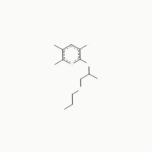 CCCOCC(C)Oc1nc(C)c(C)cc1Br